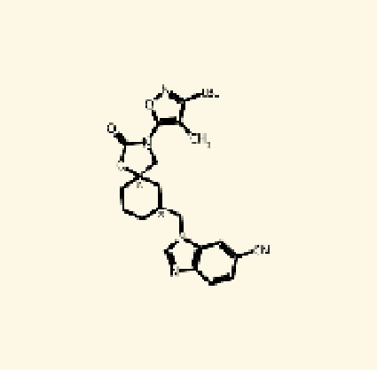 Cc1c(C(C)(C)C)noc1N1C[C@@]2(CCC[C@H](Cn3cnc4ccc(C#N)cc43)C2)OC1=O